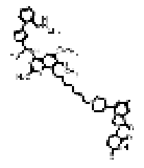 CNCc1ccccc1-c1csc(C(C)Nc2nc(C)nc3c(CCCCCCCN4CCC(c5cc(F)cc6c5CN(C5CCC(=O)NC5=O)C6=O)CC4)c(OC)c(OC)cc23)c1